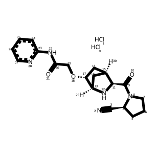 Cl.Cl.N#C[C@@H]1CCCN1C(=O)[C@H]1N[C@@H]2C[C@H]1C[C@H]2OCC(=O)Nc1ccccn1